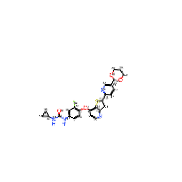 O=C(Nc1ccc(Oc2ccnc3c2SC(c2ccc(C4OCCCO4)cn2)C3)c(F)c1)NC1CC1